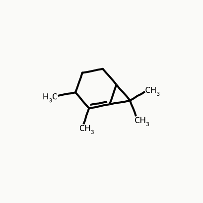 CC1=C2C(CCC1C)C2(C)C